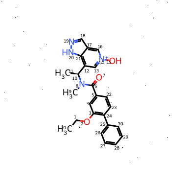 CCOc1cc(C(=O)N(C)[C@@H](C)c2c[n+](O)cc3cn[nH]c23)ccc1-c1ccccc1